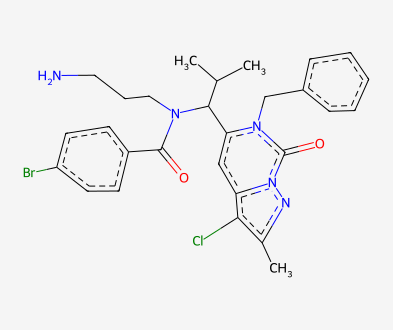 Cc1nn2c(=O)n(Cc3ccccc3)c(C(C(C)C)N(CCCN)C(=O)c3ccc(Br)cc3)cc2c1Cl